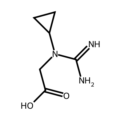 N=C(N)N(CC(=O)O)C1CC1